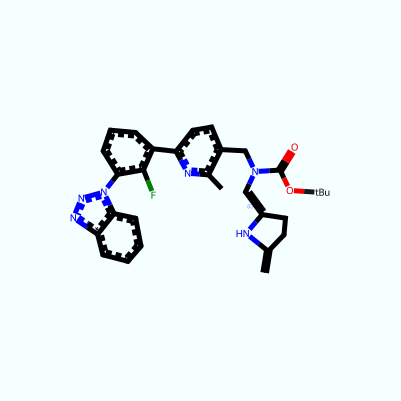 C=C1CC/C(=C\N(Cc2ccc(-c3cccc(-n4nnc5ccccc54)c3F)nc2C)C(=O)OC(C)(C)C)N1